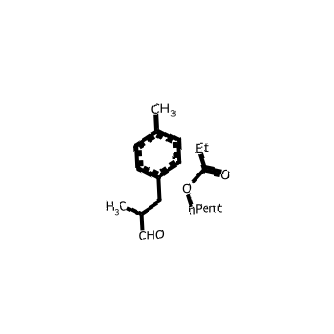 CCCCCOC(=O)CC.Cc1ccc(CC(C)C=O)cc1